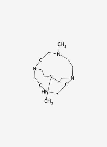 CN1CCN2CCNCCN(CC1)CCN(C)CC2